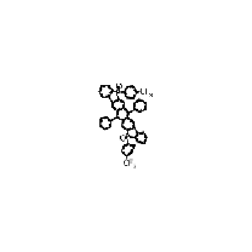 O=P1(c2ccc(C(F)(F)F)cc2)c2ccccc2-c2cc3c(-c4ccccc4)c4cc5c(cc4c(-c4ccccc4)c3cc21)-c1ccccc1P5(=O)c1ccc(C(F)(F)F)cc1